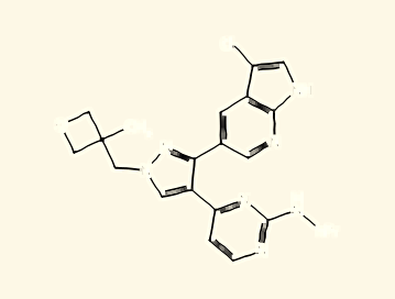 CCCNc1nccc(-c2cn(CC3(C)COC3)nc2-c2cnc3[nH]cc(Cl)c3c2)n1